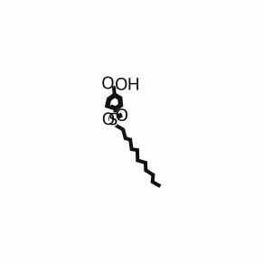 CCCCCCCCCCCCS(=O)(=O)c1ccc(C(=O)O)cc1